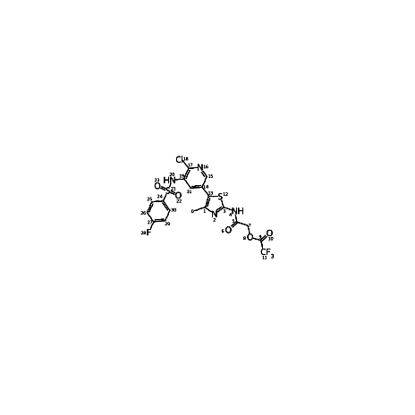 Cc1nc(NC(=O)COC(=O)C(F)(F)F)sc1-c1cnc(Cl)c(NS(=O)(=O)c2ccc(F)cc2)c1